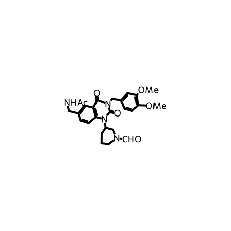 COc1ccc(Cn2c(=O)c3cc(CNC(C)=O)ccc3n(C3CCCN(C=O)C3)c2=O)cc1OC